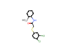 O=C(CSc1ccc(Cl)c(Cl)c1)Nc1ccccc1C(=O)O